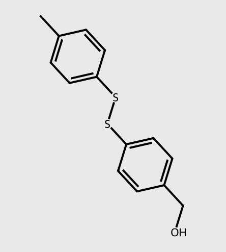 Cc1ccc(SSc2ccc(CO)cc2)cc1